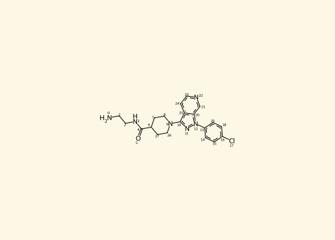 NCCNC(=O)C1CCN(c2nn(-c3ccc(Cl)cc3)c3cnccc23)CC1